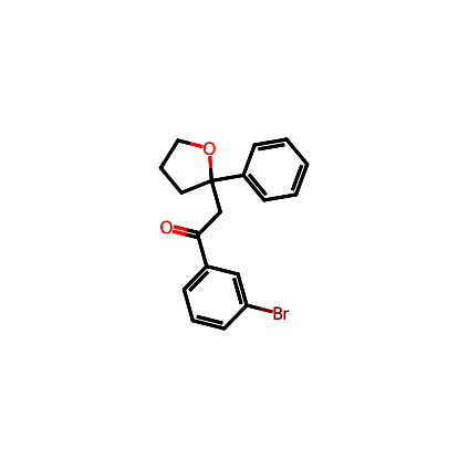 O=C(CC1(c2ccccc2)CCCO1)c1cccc(Br)c1